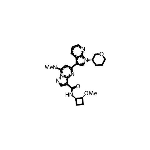 CNc1cc(-c2cn([C@@H]3CCCOC3)c3ncccc23)nc2c(C(=O)N[C@@H]3CC[C@H]3OC)cnn12